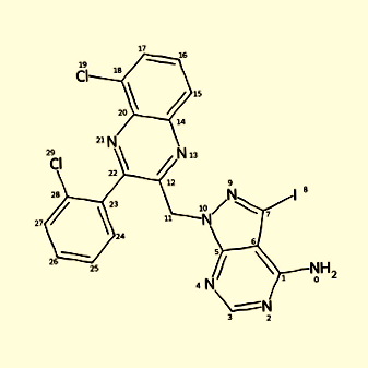 Nc1ncnc2c1c(I)nn2Cc1nc2cccc(Cl)c2nc1-c1ccccc1Cl